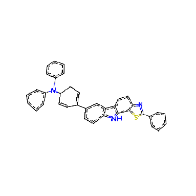 C1=CC(N(c2ccccc2)c2ccccc2)CC=C1c1ccc2[nH]c3c(ccc4nc(-c5ccccc5)sc43)c2c1